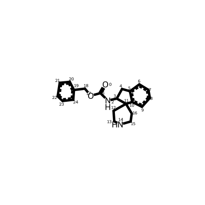 O=C(NC1Cc2ccccc2C12CCNCC2)OCc1ccccc1